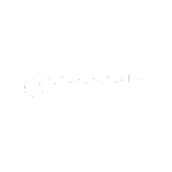 CCCCCCCCCCCCCCCCCCC[CH]C1CCCCC1